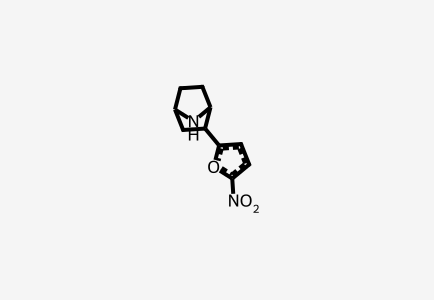 O=[N+]([O-])c1ccc(C2CC3CCC2N3)o1